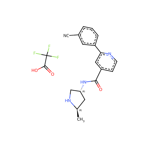 C[C@@H]1C[C@@H](NC(=O)c2ccnc(-c3cccc(C#N)c3)c2)CN1.O=C(O)C(F)(F)F